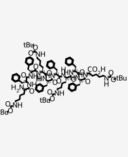 CC(C)(C)OC(=O)NCCCC[C@H](NC(=O)[C@H](Cc1ccccc1)NC(=O)[C@H](Cc1ccccc1)NC(=O)[C@H](CCCCNC(=O)OC(C)(C)C)NC(=O)[C@H](Cc1ccccc1)NC(=O)[C@H](Cc1ccccc1)NC(=O)[C@H](CCCCNC(=O)OC(C)(C)C)NC(=O)[C@H](Cc1ccccc1)NC(=O)[C@H](Cc1ccccc1)NC(=O)[C@@H](N)CCCCNC(=O)OC(C)(C)C)C(=O)O